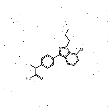 CCCn1nc(-c2ccc(C(C)C(=O)O)cc2)c2cccc(Cl)c21